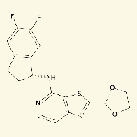 Fc1cc2c(cc1F)[C@H](Nc1nccc3cc(C4OCCO4)sc13)CC2